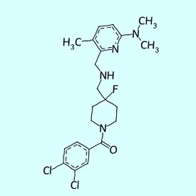 Cc1ccc(N(C)C)nc1CNCC1(F)CCN(C(=O)c2ccc(Cl)c(Cl)c2)CC1